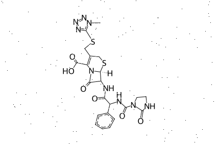 Cn1nnnc1SCC1=C(C(=O)O)N2C(=O)C(NC(=O)C(NC(=O)N3CCNC3=O)c3ccccc3)[C@@H]2SC1